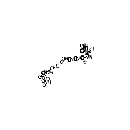 COc1cc(N2CCC(N3CCN(C(=O)COCCOCCOCCNc4cccc5c4CN(C4CCC(=O)NC4=O)C5=O)CC3)CC2)ccc1Nc1ncc(Cl)c(Nc2ccccc2P(=O)(OC)OC)n1